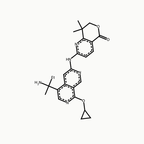 CCC(C)(N)c1cnc(OC2CC2)c2cnc(Nc3ccc4c(n3)C(C)(C)COC4=O)cc12